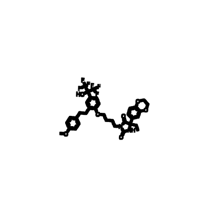 CCC1(c2ccc3c(c2)OCCO3)NC(=O)N(CCCCOc2ccc(C(O)(C(F)(F)F)C(F)(F)F)cc2CCc2ccc(OC)cc2)C1=O